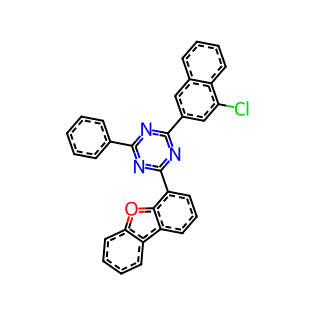 Clc1cc(-c2nc(-c3ccccc3)nc(-c3cccc4c3oc3ccccc34)n2)cc2ccccc12